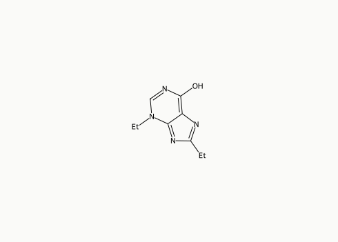 CCc1nc2c(O)ncn(CC)c-2n1